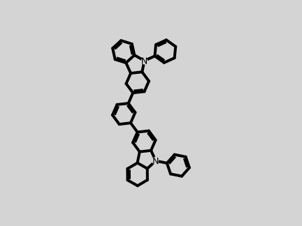 C1=CCCC(N2C3C=CC(C4C=C(C5=CCC6C(C5)c5ccccc5N6C5=CCCC=C5)C=CC4)=CC3C3C=CCCC32)=C1